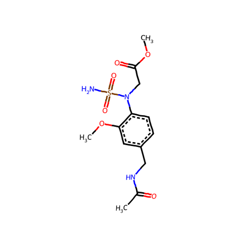 COC(=O)CN(c1ccc(CNC(C)=O)cc1OC)S(N)(=O)=O